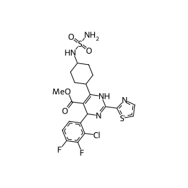 COC(=O)C1=C(C2CCC(NS(N)(=O)=O)CC2)NC(c2nccs2)=NC1c1ccc(F)c(F)c1Cl